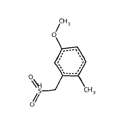 COc1ccc(C)c(C[SH](=O)=O)c1